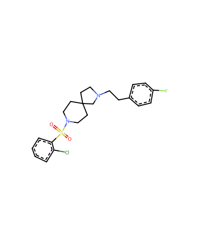 O=S(=O)(c1ccccc1Cl)N1CCC2(CCN(CCc3ccc(F)cc3)C2)CC1